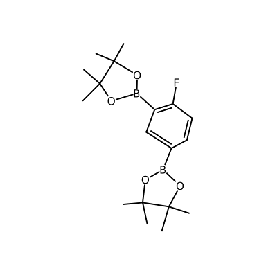 CC1(C)OB(c2ccc(F)c(B3OC(C)(C)C(C)(C)O3)c2)OC1(C)C